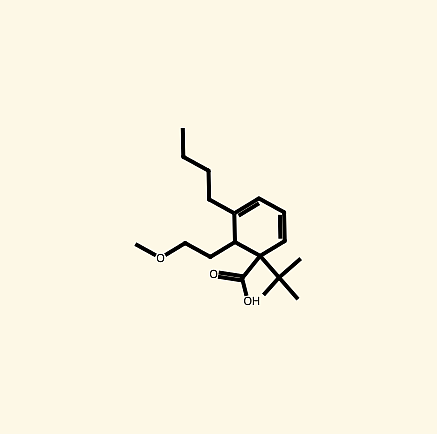 CCCCC1=CC=CC(C(=O)O)(C(C)(C)C)C1CCOC